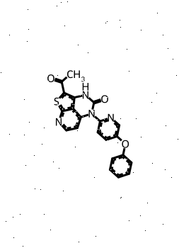 CC(=O)c1sc2nccc3c2c1NC(=O)N3c1ccc(Oc2ccccc2)cn1